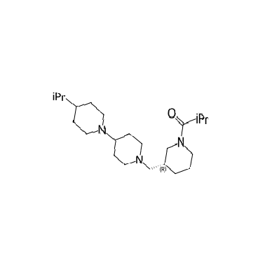 CC(C)C(=O)N1CCC[C@H](CN2CCC(N3CCC(C(C)C)CC3)CC2)C1